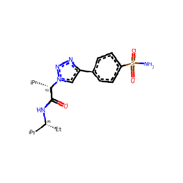 CC[C@@H](NC(=O)[C@H](C(C)C)n1cc(-c2ccc(S(N)(=O)=O)cc2)nn1)C(C)C